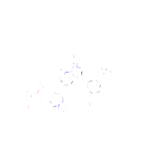 COc1ccc(F)cc1-c1c[nH]c2ncc(-c3cc(C(O)C(=O)N(C)C)c[n+]([O-])c3)cc12